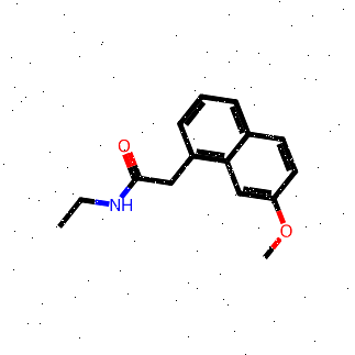 CCNC(=O)Cc1cccc2ccc(OC)cc12